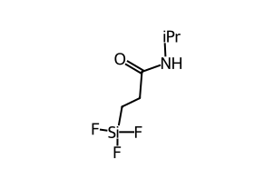 CC(C)NC(=O)CC[Si](F)(F)F